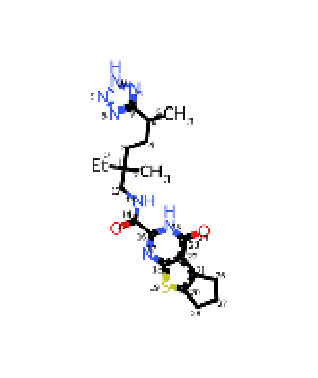 CCC(C)(CCC(C)c1nn[nH]n1)CNC(=O)c1nc2sc3c(c2c(=O)[nH]1)CCC3